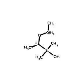 C[SiH2]O[C@H](C)[Si](C)(C)O